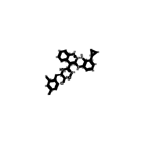 Cc1ccc(C[C@H](CCl)N/C(=N\O)c2c(Oc3cccc(C4CC4)c3F)nnc3ccccc23)c(C)c1